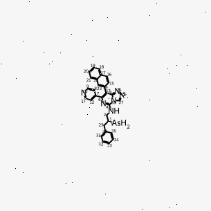 [AsH2][C@H](CNc1nc(-c2ccncc2)c(-c2ccc3ccccc3c2)c2nncn12)Cc1ccccc1